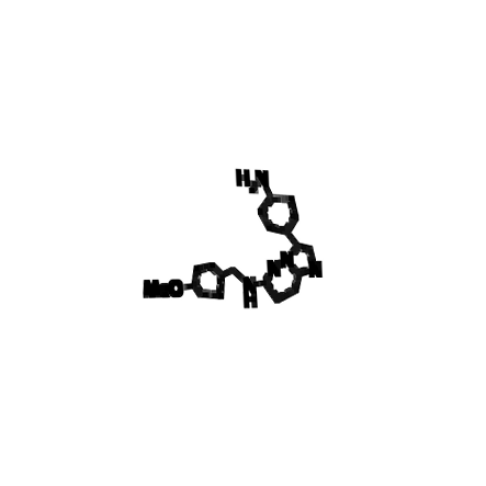 COc1ccc(CNc2ccc3ncc(-c4ccc(N)cc4)n3n2)cc1